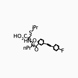 CCCN(C(=O)N[C@@H](CSCC(C)C)C(=O)O)C(=O)c1cccc(C#Cc2ccc(F)cc2)c1